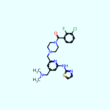 CN(C)Cc1cc(CN2CCN(C(=O)c3cccc(Cl)c3F)CC2)nc(Nc2nccs2)c1